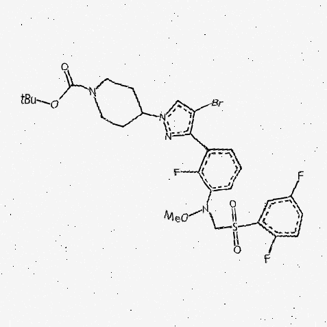 CON(CS(=O)(=O)c1cc(F)ccc1F)c1cccc(-c2nn(C3CCN(C(=O)OC(C)(C)C)CC3)cc2Br)c1F